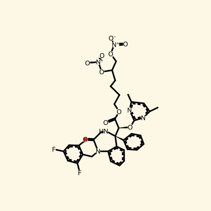 Cc1cc(C)nc(O[C@H](C(=O)OCCCCC(CO[N+](=O)[O-])O[N+](=O)[O-])[C@@]2(c3ccccc3)NCC(=O)N(Cc3c(F)cc(F)cc3F)c3ccccc32)n1